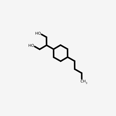 CCCCC1CCC(C(CO)CO)CC1